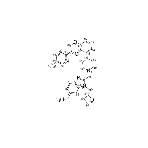 OCc1ccc2nc(CN3CCC(c4cccc5c4O[C@@H](c4ccc(Cl)cn4)CO5)CC3)n(C[C@@H]3CCO3)c2c1